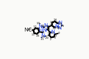 Cc1cccc(-c2[nH]c(N(C)c3cc(C#N)ccc3CN(C)C)nc2-c2ccc3ncnn3c2)n1